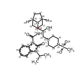 CC(C)n1c(=O)n(C(=O)N[C@H]2C[C@H]3CC[C@@H](C2)N3CC(O)CN2CCN(S(C)(=O)=O)CC2)c2ccccc21